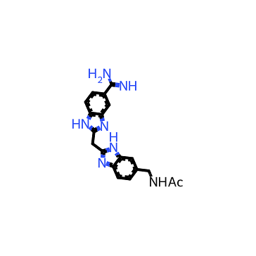 CC(=O)NCc1ccc2nc(Cc3nc4cc(C(=N)N)ccc4[nH]3)[nH]c2c1